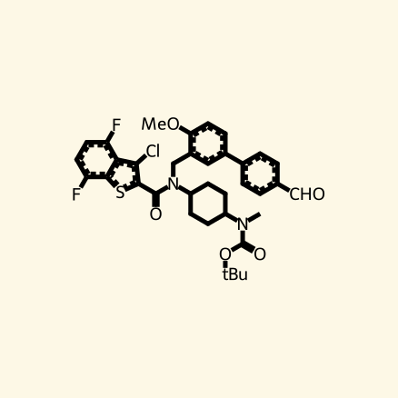 COc1ccc(-c2ccc(C=O)cc2)cc1CN(C(=O)c1sc2c(F)ccc(F)c2c1Cl)C1CCC(N(C)C(=O)OC(C)(C)C)CC1